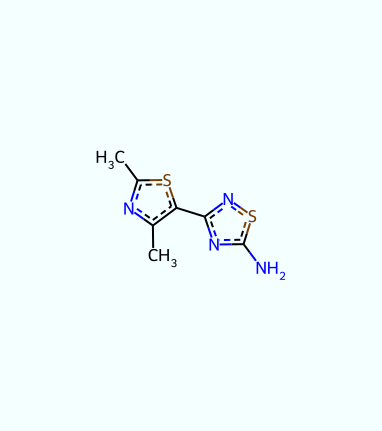 Cc1nc(C)c(-c2nsc(N)n2)s1